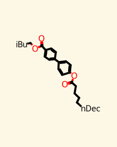 CCCCCCCCCCCCCCC(=O)Oc1ccc(-c2ccc(C(=O)OCC(C)CC)cc2)cc1